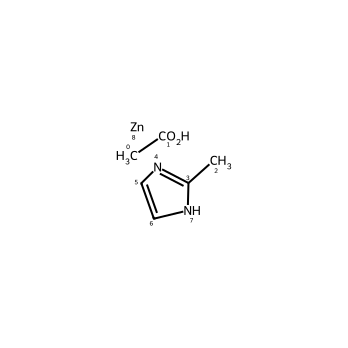 CC(=O)O.Cc1ncc[nH]1.[Zn]